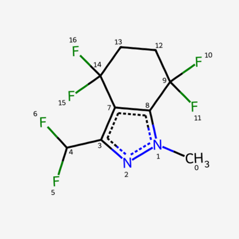 Cn1nc(C(F)F)c2c1C(F)(F)CCC2(F)F